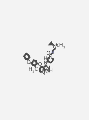 Cc1cc(Oc2ccccc2)ccc1Oc1ccnc2[nH]nc(N[C@@H]3CCCN(C(=O)/C=C/CN(C)C4CC4)C3)c12.Cl